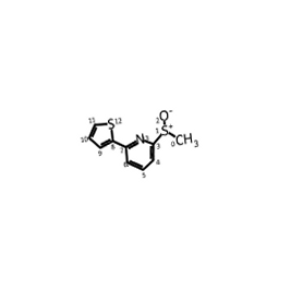 C[S+]([O-])c1cc[c]c(-c2cccs2)n1